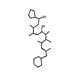 CC(C)C(CC(C)C(C)CC(C(C)C)C(C)C(C)C(C)CN(C)CC1CCCCC1)C1CCCC1